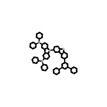 c1ccc(-c2cc(-c3ccccc3)cc(-c3ccc4oc5ccc(-n6c7ccc(N(c8ccccc8)c8ccccc8)cc7c7cc(N(c8ccccc8)c8ccccc8)ccc76)cc5c4c3)c2)cc1